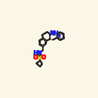 N[C@H]1CCc2ccc(CNS(=O)(=O)C3CCC3)cc2[C@H]1Cc1ccccc1